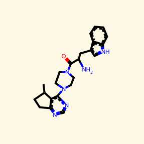 CC1CCc2ncnc(N3CCN(C(=O)C(N)Cc4c[nH]c5ccccc45)CC3)c21